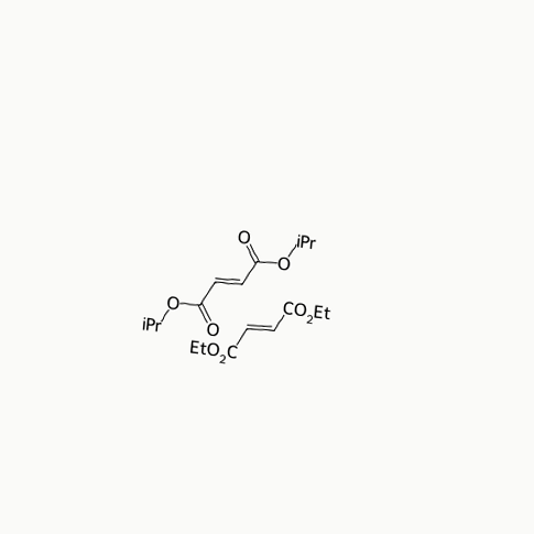 CC(C)OC(=O)/C=C/C(=O)OC(C)C.CCOC(=O)/C=C/C(=O)OCC